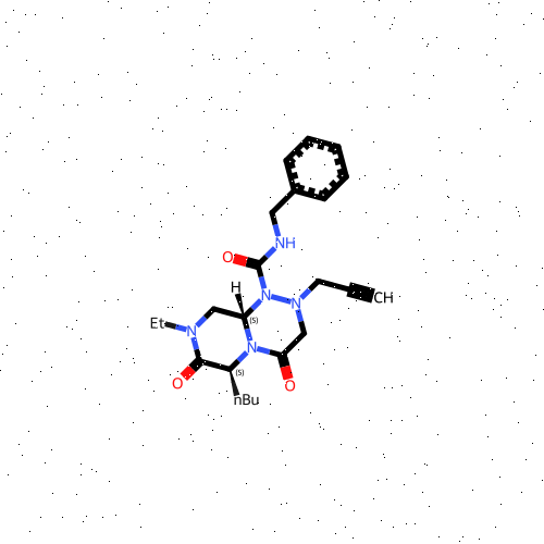 C#CCN1CC(=O)N2[C@@H](CCCC)C(=O)N(CC)C[C@@H]2N1C(=O)NCc1ccccc1